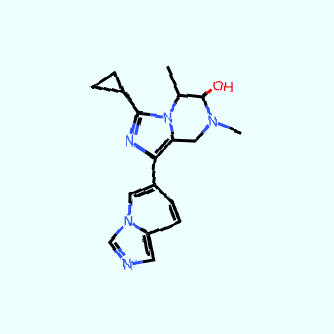 CC1C(O)N(C)Cc2c(-c3ccc4cncn4c3)nc(C3CC3)n21